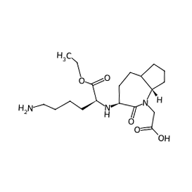 CCOC(=O)[C@H](CCCCN)N[C@H]1CCC2CCC[C@@H]2N(CC(=O)O)C1=O